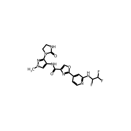 Cn1cc(NC(=O)c2coc(-c3ccnc(NC(F)C(F)F)c3)n2)c(N2CCNC2=O)n1